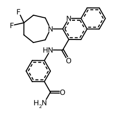 NC(=O)c1cccc(NC(=O)c2cc3ccccc3nc2N2CCCC(F)(F)CC2)c1